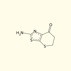 Nc1nc2c(s1)SCCC2=O